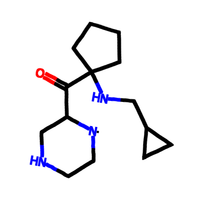 O=C(C1CNCC[N]1)C1(NCC2CC2)CCCC1